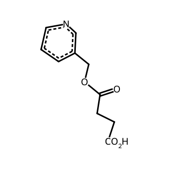 O=C(O)CCC(=O)OCc1cccnc1